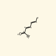 C/C=C/C=C/C(=O)Br